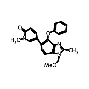 COCn1c(C)nc2c(Oc3ccccc3)c(-c3ccc(=O)n(C)c3)ccc21